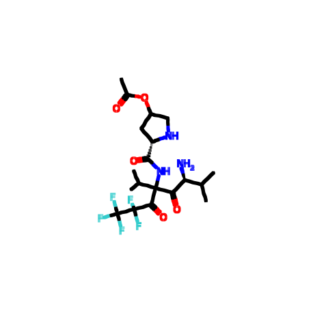 CC(=O)OC1CN[C@H](C(=O)NC(C(=O)[C@@H](N)C(C)C)(C(=O)C(F)(F)C(F)(F)F)C(C)C)C1